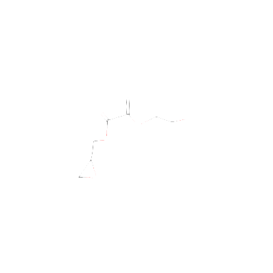 C=C(OCCO)C(=O)OCC1CO1